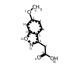 COc1ccc2c(CC(=O)O)noc2c1